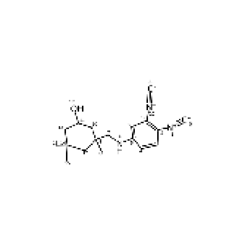 [C-]#[N+]c1ccc(NCC2(C)CC(O)CC(C)(C)C2)cc1[N+]#[C-]